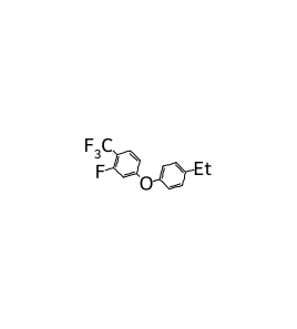 CCc1ccc(Oc2ccc(C(F)(F)F)c(F)c2)cc1